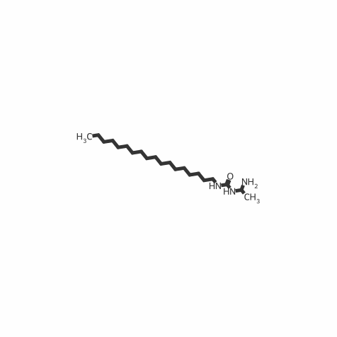 CCCCCCCCCCCCCCCCCCNC(=O)NC(C)N